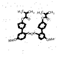 C=C(C)C(=O)Oc1ccc(-c2cc(OC)ccc2SOSc2ccc(OC)cc2-c2ccc(OC(=O)C(=C)C)cc2)cc1